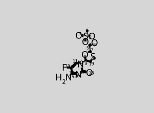 CS(=O)(=O)OC(=O)[C@@H]1O[C@H](n2cc(F)c(N)nc2=O)CS1